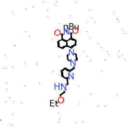 CCCCN1C(=O)c2cccc3c(N4CCN(Cc5cccc(CNCCOCC)n5)CC4)ccc(c23)C1=O